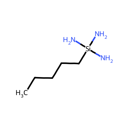 CCCCC[Si](N)(N)N